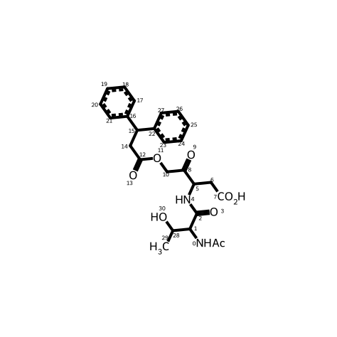 CC(=O)NC(C(=O)NC(CC(=O)O)C(=O)COC(=O)CC(c1ccccc1)c1ccccc1)C(C)O